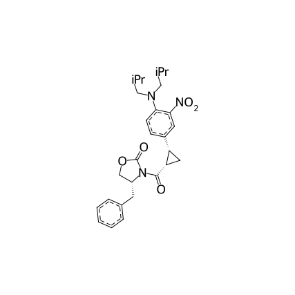 CC(C)CN(CC(C)C)c1ccc([C@@H]2C[C@@H]2C(=O)N2C(=O)OC[C@H]2Cc2ccccc2)cc1[N+](=O)[O-]